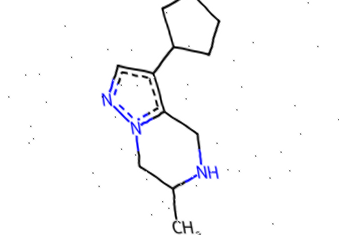 CC1Cn2ncc(C3CCCC3)c2CN1